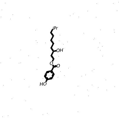 CC(C)CCCCCC(O)CCOC(=O)c1ccc(O)cc1